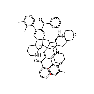 Cc1cccc(C2=CC(C3CCCNC3)C(CCCN3CCOCC3)(C(=O)C3(CCCN4CCOCC4)C=C(C(=O)c4ccccc4)C(c4cccc(C)c4C)=CC3C3CCCNC3)C=C2C(=O)c2ccccc2)c1C